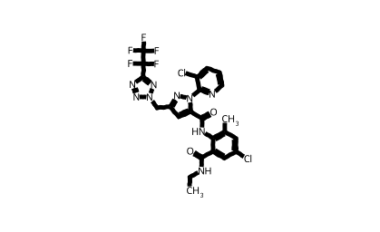 CCNC(=O)c1cc(Cl)cc(C)c1NC(=O)c1cc(Cn2nnc(C(F)(F)C(F)(F)F)n2)nn1-c1ncccc1Cl